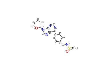 CC(C)(C)[S+]([O-])/N=C/c1ccc(-c2ncnc3c2ncn3C2CCCCO2)cc1